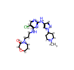 CN1CCC(n2cc(Nc3ncc(Cl)c(NCCCN4CCCOCC4=O)n3)cn2)CC1